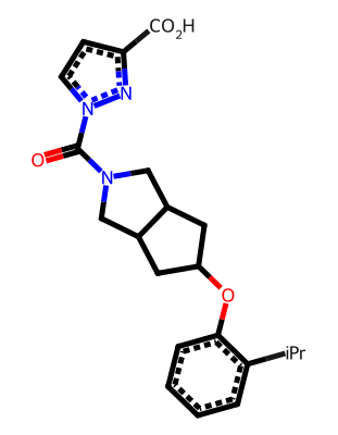 CC(C)c1ccccc1OC1CC2CN(C(=O)n3ccc(C(=O)O)n3)CC2C1